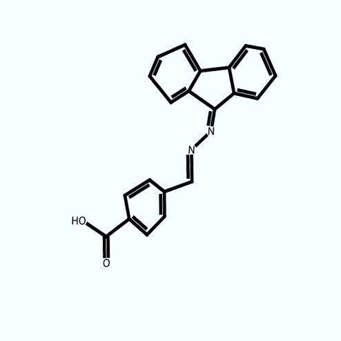 O=C(O)c1ccc(C=NN=C2c3ccccc3-c3ccccc32)cc1